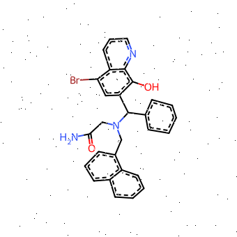 NC(=O)CN(Cc1cccc2ccccc12)C(c1ccccc1)c1cc(Br)c2cccnc2c1O